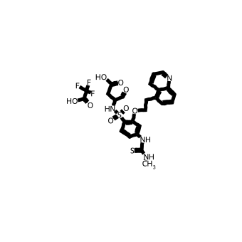 CNC(=S)Nc1ccc(S(=O)(=O)NC(C=O)CC(=O)O)c(OCCc2cccc3ncccc23)c1.O=C(O)C(F)(F)F